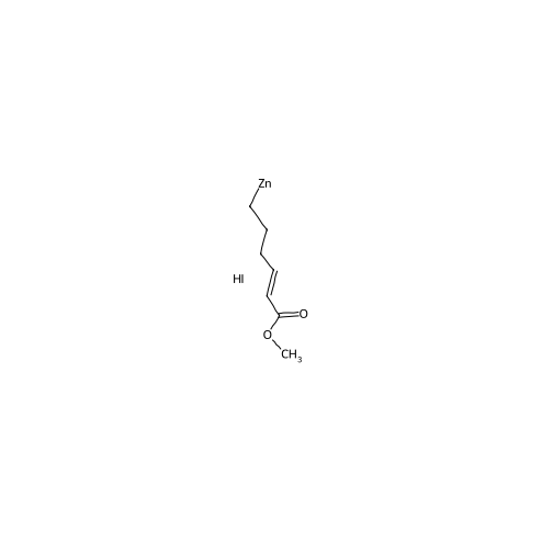 COC(=O)C=CCC[CH2][Zn].I